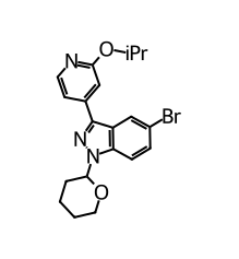 CC(C)Oc1cc(-c2nn(C3CCCCO3)c3ccc(Br)cc23)ccn1